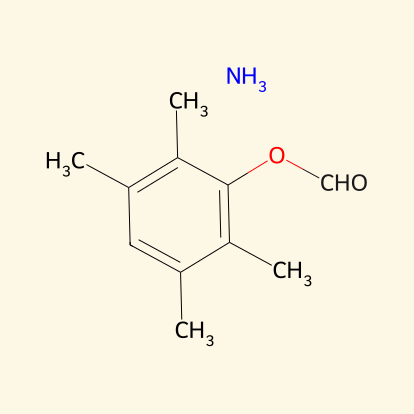 Cc1cc(C)c(C)c(OC=O)c1C.N